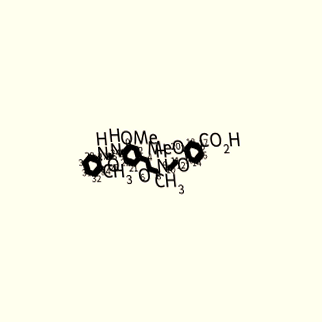 COc1cc(CC(=O)C(C)NCCOc2ccc(C(=O)O)cc2OC)ccc1NC(=O)Nc1ccccc1C